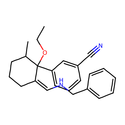 CCOC1(c2cccc(C#N)c2)/C(=C\NCc2ccccc2)CCCC1C